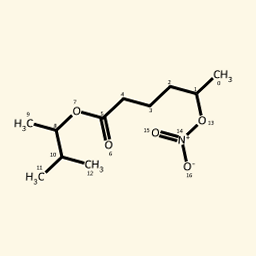 CC(CCCC(=O)OC(C)C(C)C)O[N+](=O)[O-]